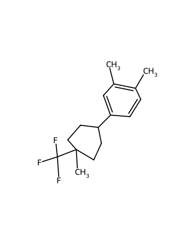 Cc1ccc(C2CCC(C)(C(F)(F)F)CC2)cc1C